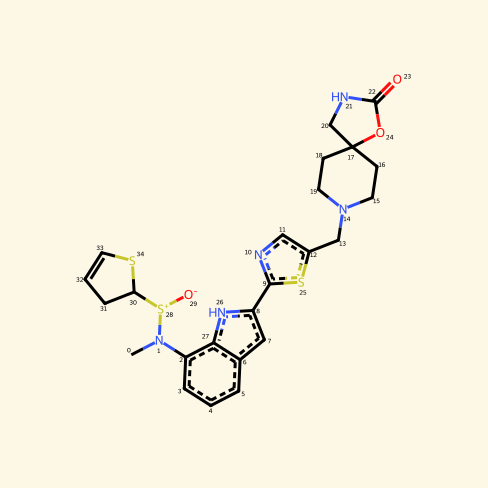 CN(c1cccc2cc(-c3ncc(CN4CCC5(CC4)CNC(=O)O5)s3)[nH]c12)[S+]([O-])C1CC=CS1